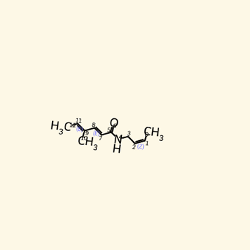 C/C=C\CNC(=O)/C=C/C(C)=C/C